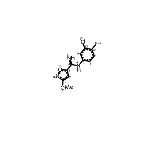 COc1cc(C(=N)Nc2ccc(F)c(Cl)c2)on1